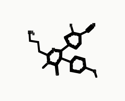 COc1ccc(-c2c(-c3ccc(C#N)c(F)c3)nc(CCCN)n(C)c2=O)cc1